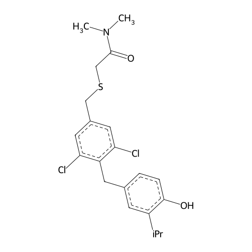 CC(C)c1cc(Cc2c(Cl)cc(CSCC(=O)N(C)C)cc2Cl)ccc1O